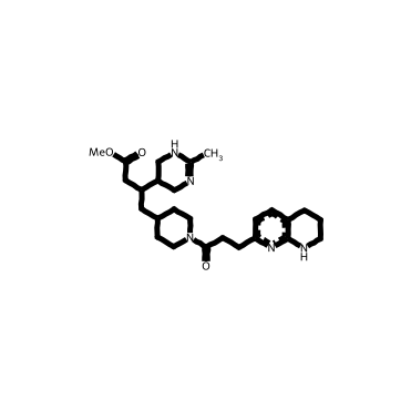 COC(=O)CC(CC1CCN(C(=O)CCc2ccc3c(n2)NCCC3)CC1)C1CN=C(C)NC1